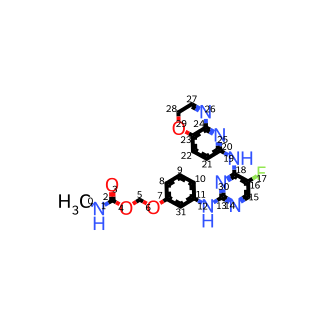 CNC(=O)OCOc1cccc(Nc2ncc(F)c(Nc3ccc4c(n3)N=CCO4)n2)c1